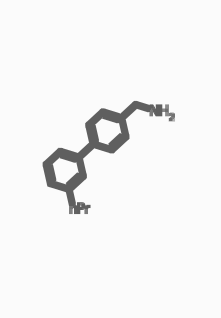 [CH2]CCc1cccc(-c2ccc(CN)cc2)c1